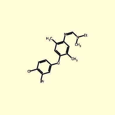 CCN(C)/C=N\c1cc(C)c(Oc2ccc(Cl)c(C(C)C)c2)cc1C